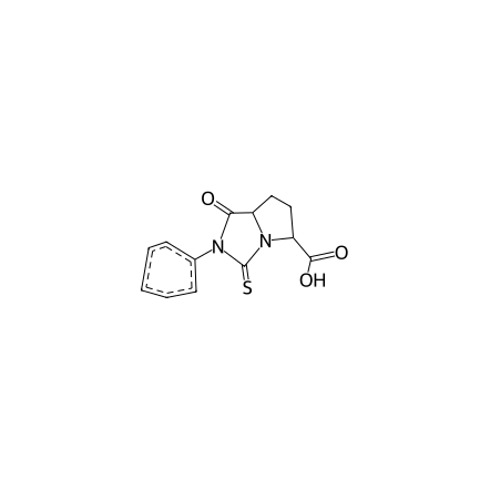 O=C(O)C1CCC2C(=O)N(c3ccccc3)C(=S)N12